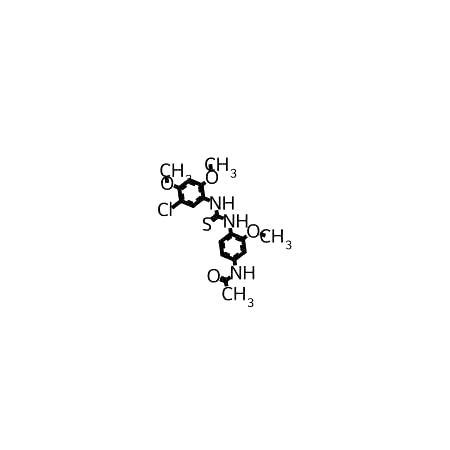 COc1cc(OC)c(NC(=S)Nc2ccc(NC(C)=O)cc2OC)cc1Cl